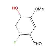 COC1=CC(C=O)=C(F)CC1O